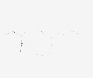 CC1CC2CCCCC2(C)C2CCCCC(CCCN)C1CC2